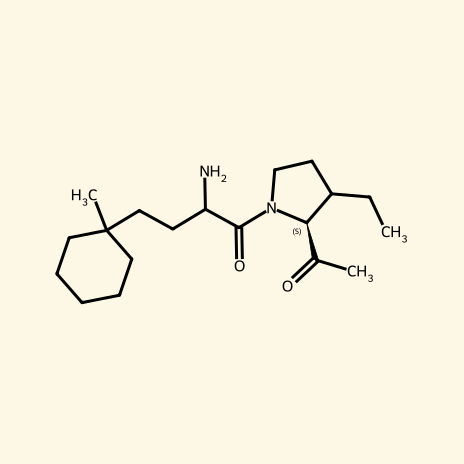 CCC1CCN(C(=O)C(N)CCC2(C)CCCCC2)[C@@H]1C(C)=O